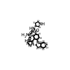 NS(=O)(=O)c1c(S(=O)(=O)N[C@@H]2CCNC2)ccc(N2CCc3ccncc32)c1-c1nnn[nH]1